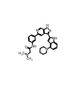 CN(C)CC(=O)Nc1cccc(-c2cc3c(-c4cc5c(N6CCCCC6)cccc5[nH]4)n[nH]c3cn2)c1